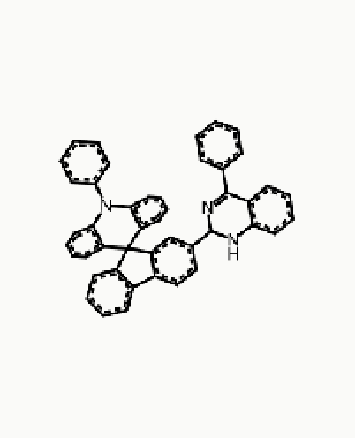 c1ccc(C2=NC(c3ccc4c(c3)C3(c5ccccc5-4)c4ccccc4N(c4ccccc4)c4ccccc43)Nc3ccccc32)cc1